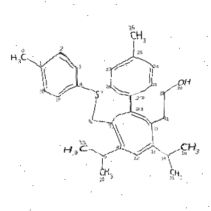 Cc1ccc(SCc2c(C(C)C)cc(C(C)C)c(CCO)c2-c2ccc(C)cc2)cc1